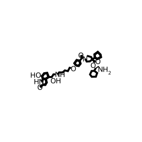 NC[C@H](OC(=O)C1(c2ccccc2)CCN(C(=O)c2ccc(OCCCCCNC[C@H](O)c3ccc(O)c4[nH]c(=O)ccc34)cc2)CC1)C1CCCCC1